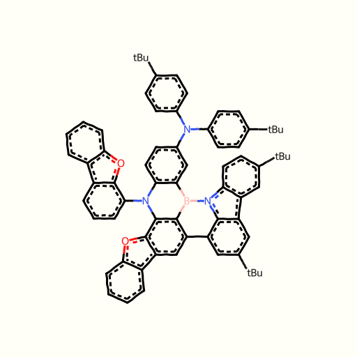 CC(C)(C)c1ccc(N(c2ccc(C(C)(C)C)cc2)c2ccc3c(c2)B2c4c(cc5c(oc6ccccc65)c4N3c3cccc4c3oc3ccccc34)-c3cc(C(C)(C)C)cc4c5cc(C(C)(C)C)ccc5n2c34)cc1